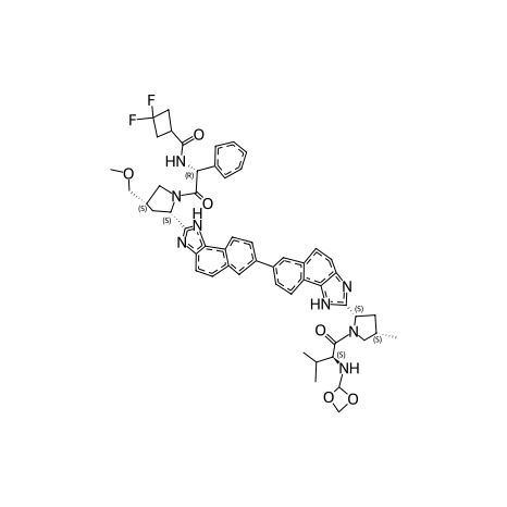 COC[C@H]1C[C@@H](c2nc3ccc4cc(-c5ccc6c(ccc7nc([C@@H]8C[C@H](C)CN8C(=O)[C@@H](NC8OCO8)C(C)C)[nH]c76)c5)ccc4c3[nH]2)N(C(=O)[C@H](NC(=O)C2CC(F)(F)C2)c2ccccc2)C1